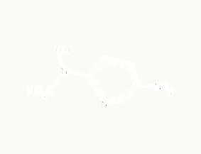 CC(C)(C)N(C(=O)O)c1ccc(N)cn1